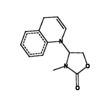 CN1C(=O)OCC1N1C=CCc2ccccc21